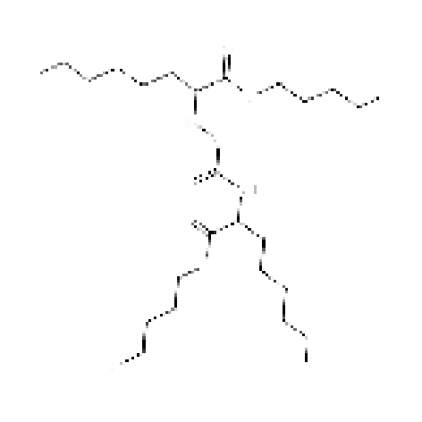 CCCCCCC(NOC(=O)NC(CCCCCC)C(=O)OCCCCC)C(=O)OCCCCC